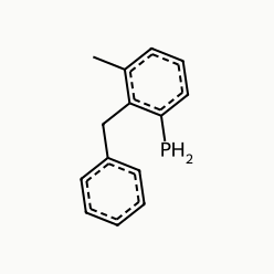 Cc1cccc(P)c1Cc1ccccc1